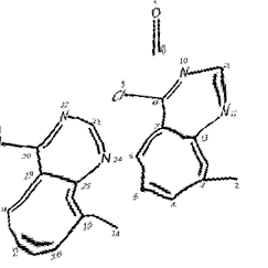 C=O.Cc1cccc2c(Cl)ncnc12.Cc1cccc2c(Cl)ncnc12